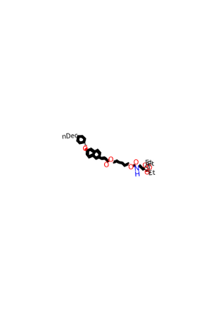 CCCCCCCCCC[C@H]1CC[C@H](COc2ccc3cc(/C=C/C(=O)OCCCCCCOC(=O)NCC[Si](OCC)(OCC)OCC)ccc3c2)CC1